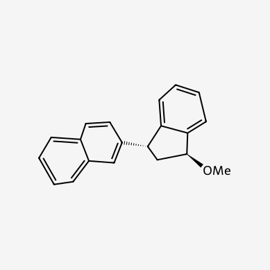 CO[C@H]1C[C@H](c2ccc3ccccc3c2)c2ccccc21